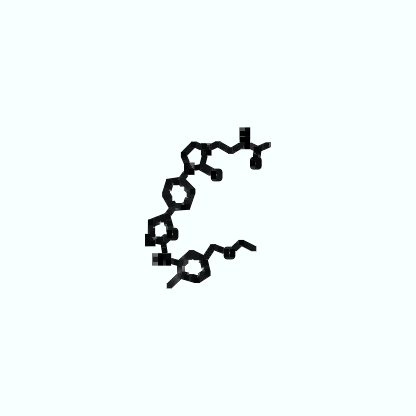 CCOCc1ccc(C)c(Nc2ncc(-c3ccc(N4CCN(CCNC(C)=O)C4=O)cc3)o2)c1